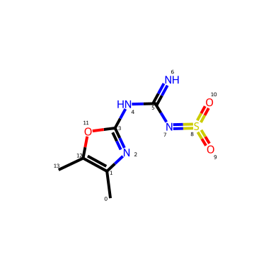 Cc1nc(NC(=N)N=S(=O)=O)oc1C